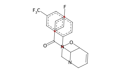 O=C(c1cccc(C(F)(F)F)c1)N1CN2CC=CC(O1)C2Cc1ccc(F)cc1